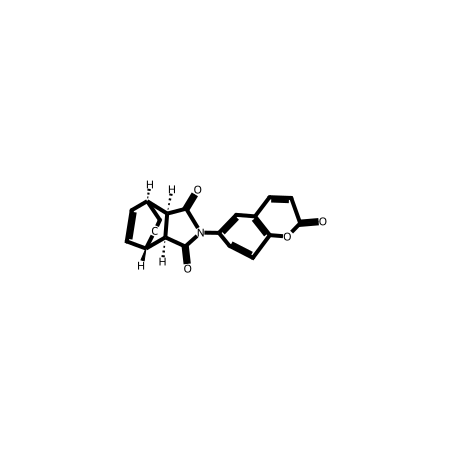 O=C1[C@@H]2[C@H](C(=O)N1c1ccc3oc(=O)ccc3c1)[C@@H]1C=C[C@@H]2CC1